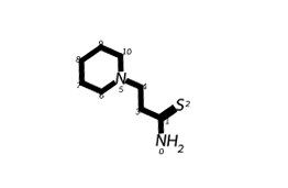 NC(=S)CCN1CCCCC1